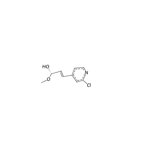 CO[C@H](O)/C=C/c1ccnc(Cl)c1